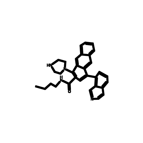 CCCCNC(=O)c1cc(-c2cccc3ccncc23)c2cc3ccccc3cc2c1N1CCNCC1